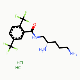 Cl.Cl.NCCC[C@H](N)CNC(=O)c1cc(C(F)(F)F)ccc1C(F)(F)F